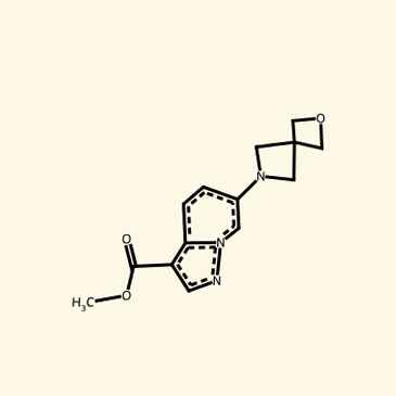 COC(=O)c1cnn2cc(N3CC4(COC4)C3)ccc12